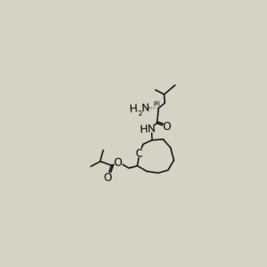 CC(C)C[C@@H](N)C(=O)NC1CCCCCCC(COC(=O)C(C)C)CC1